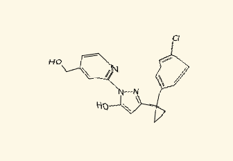 OCc1ccnc(-n2nc(C3(c4ccc(Cl)cc4)CC3)cc2O)c1